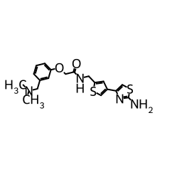 CN(C)Cc1cccc(OCC(=O)NCc2cc(-c3csc(N)n3)cs2)c1